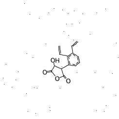 C=Cc1cccc(C2C(=O)OC(=O)C2O)c1C=C